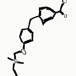 C=C[Si](C)(C)COc1ccc(Cc2ccc(C(=O)Cl)cc2)cc1